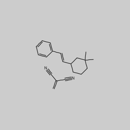 C=C(C#N)C#N.CC1(C)CCCC(C=Cc2ccccc2)C1